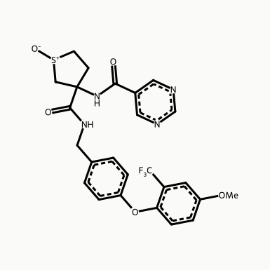 COc1ccc(Oc2ccc(CNC(=O)C3(NC(=O)c4cncnc4)CC[S+]([O-])C3)cc2)c(C(F)(F)F)c1